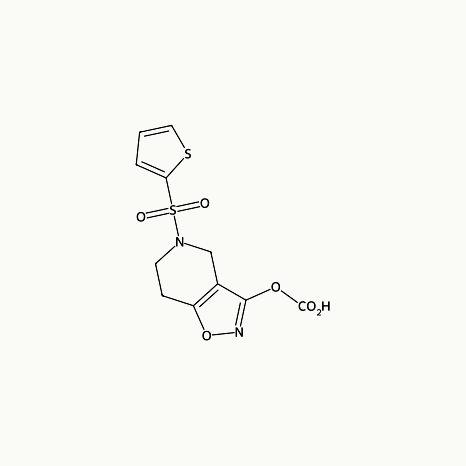 O=C(O)Oc1noc2c1CN(S(=O)(=O)c1cccs1)CC2